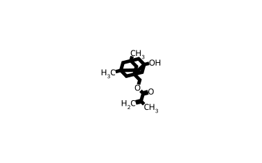 C=C(C)C(=O)OCC12CC3(C)CC(C)(CC(O)(C3)C1)C2